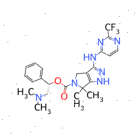 CN(C)C[C@@H](OC(=O)N1Cc2c(Nc3ccnc(C(F)(F)F)n3)n[nH]c2C1(C)C)c1ccccc1